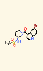 O=C(c1ccnc2ccc(Br)cc12)N1CCCC(NS(=O)(=O)C(F)(F)F)C1